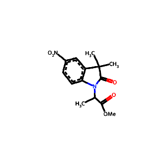 COC(=O)C(C)N1C(=O)C(C)(C)c2cc([N+](=O)[O-])ccc21